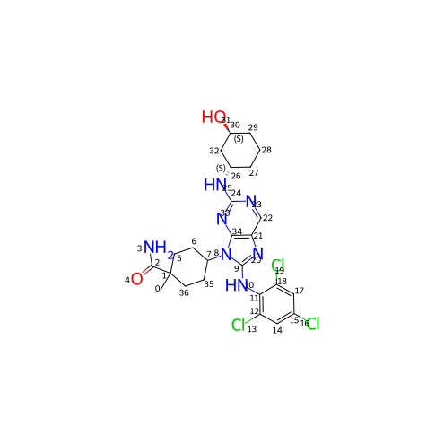 CC1(C(N)=O)CCC(n2c(Nc3c(Cl)cc(Cl)cc3Cl)nc3cnc(N[C@H]4CCC[C@H](O)C4)nc32)CC1